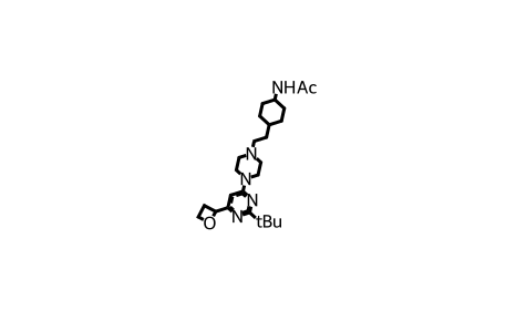 CC(=O)NC1CCC(CCN2CCN(c3cc(C4CCO4)nc(C(C)(C)C)n3)CC2)CC1